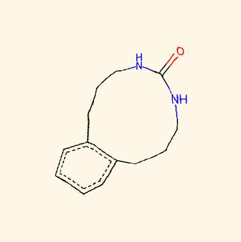 O=C1NCCCc2ccccc2CCCN1